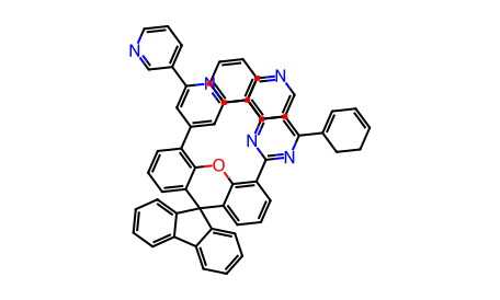 C1=CCCC(c2cc(-c3ccccc3)nc(-c3cccc4c3Oc3c(-c5cc(-c6cccnc6)nc(-c6cccnc6)c5)cccc3C43c4ccccc4-c4ccccc43)n2)=C1